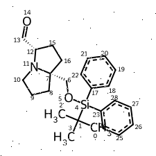 CC(C)(C)[Si](OC[C@]12CCCN1[C@H](C=O)CC2)(c1ccccc1)c1ccccc1